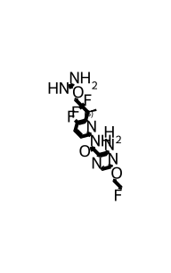 C[C@@H](c1nc(NC(=O)c2ncc(OCCF)nc2N)ccc1F)C(F)(F)COC(=N)N